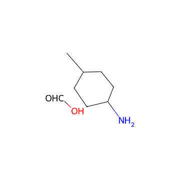 CC1CCC(N)CC1.O=CO